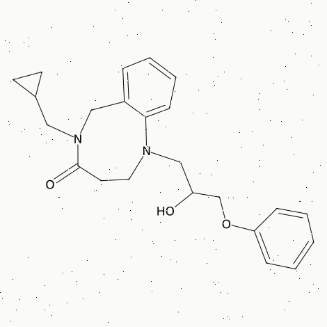 O=C1CCN(CC(O)COc2ccccc2)c2ccccc2CN1CC1CC1